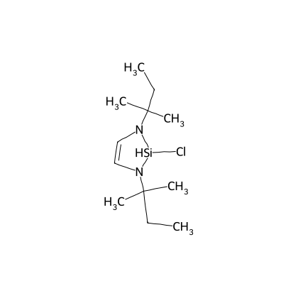 CCC(C)(C)N1C=CN(C(C)(C)CC)[SiH]1Cl